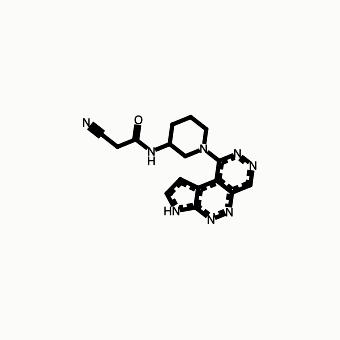 N#CCC(=O)NC1CCCN(c2nncc3nnc4[nH]ccc4c23)C1